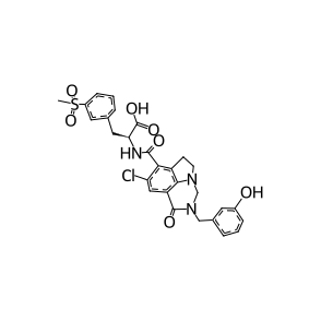 CS(=O)(=O)c1cccc(C[C@H](NC(=O)c2c(Cl)cc3c4c2CCN4CN(Cc2cccc(O)c2)C3=O)C(=O)O)c1